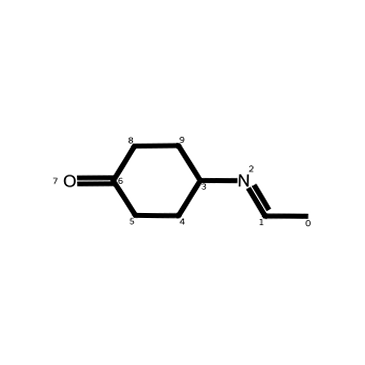 CC=NC1CCC(=O)CC1